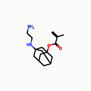 C=C(C)C(=O)OC12CC3CC(CC(NCCN)(C3)C1)C2